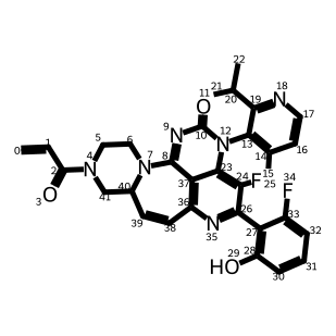 C=CC(=O)N1CCN2c3nc(=O)n(-c4c(C)ccnc4C(C)C)c4c(F)c(-c5c(O)cccc5F)nc(c34)C=CC2C1